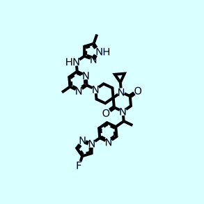 Cc1cc(Nc2cc(C)[nH]n2)nc(N2CCC3(CC2)C(=O)N(C(C)c2ccc(-n4cc(F)cn4)nc2)CC(=O)N3C2CC2)n1